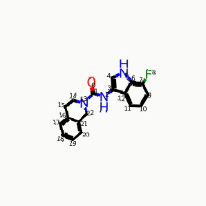 O=C(Nc1c[nH]c2c(F)cccc12)N1CCc2ccccc2C1